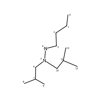 CCCC[N]N(CC(C)C)CC(C)C